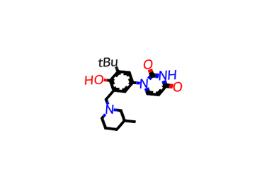 CC1CCCN(Cc2cc(-n3ccc(=O)[nH]c3=O)cc(C(C)(C)C)c2O)C1